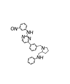 O=Nc1cccc(Nc2nccc(-c3cccc(CN4CCCC4CNc4ccccc4)c3)n2)c1